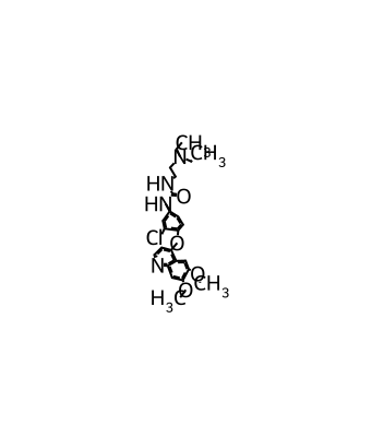 CCN(CC)CCNC(=O)Nc1ccc(Oc2ccnc3cc(OC)c(OC)cc23)c(Cl)c1